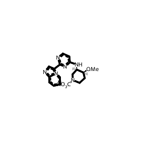 CO[C@H]1CCN(C(=O)O)C[C@@H]1Nc1ccnc(-c2cnc3ccccn23)n1